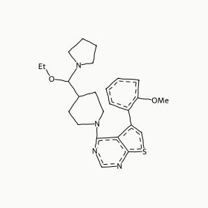 CCOC(C1CCN(c2ncnc3scc(-c4ccccc4OC)c23)CC1)N1CCCC1